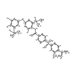 Cc1cc(Cc2cc(C)c(CC(=O)c3ccc(S(=O)(=O)c4ccc(C(N)=O)c(C(=O)O)c4)cc3)c(C(C)(O)C(F)(F)F)c2)cc(C(C)(O)C(F)(F)F)c1C